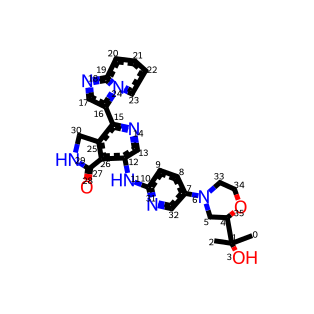 CC(C)(O)C1CN(c2ccc(Nc3cnc(-c4cnc5ccccn45)c4c3C(=O)NC4)nc2)CCO1